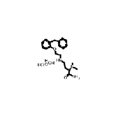 CN(C)C(CCNCCOc1ccccc1Cc1ccccc1)C(N)=O.Cl.Cl.Cl